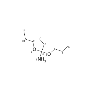 CCCOC(N)(CC)OCCC